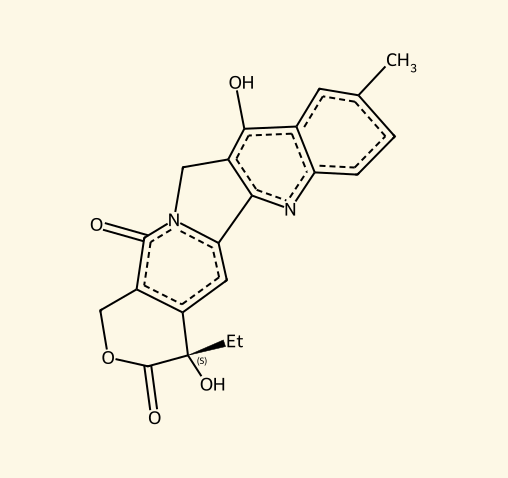 CC[C@@]1(O)C(=O)OCc2c1cc1n(c2=O)Cc2c-1nc1ccc(C)cc1c2O